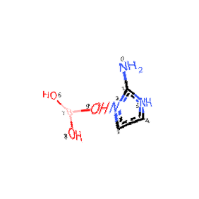 Nc1ncc[nH]1.OB(O)O